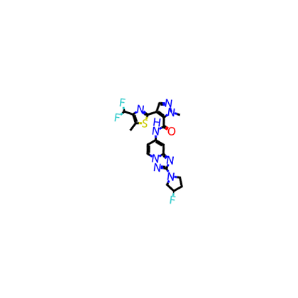 Cc1sc(-c2cnn(C)c2C(=O)Nc2ccn3nc(N4CC[C@@H](F)C4)nc3c2)nc1C(F)F